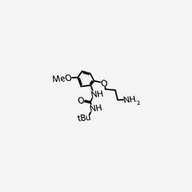 COc1ccc(OCCCN)c(NC(=O)NC(C)(C)C)c1